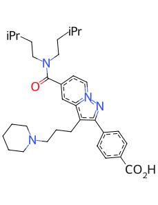 CC(C)CCN(CCC(C)C)C(=O)c1ccn2nc(-c3ccc(C(=O)O)cc3)c(CCCN3CCCCC3)c2c1